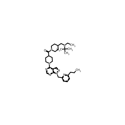 CCCc1cccc(Cn2ncc3c(N4CCC(C(=O)N5CCC(CN(CC)C(C)(C)C)CC5)CC4)ncnc32)n1